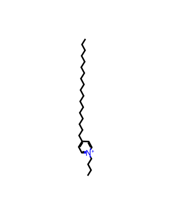 CCCCCCCCCCCCCCCCCCc1cc[n+](CCCC)cc1